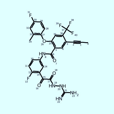 CC#Cc1cc(C(=O)Nc2ccc(F)c(C(=O)C(=O)NNC(=N)N)c2)c(Oc2ccc(F)cc2C)cc1C(F)(F)F